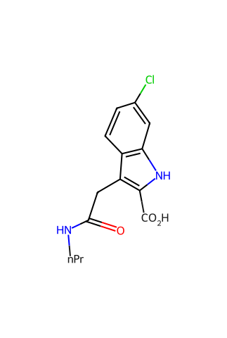 CCCNC(=O)Cc1c(C(=O)O)[nH]c2cc(Cl)ccc12